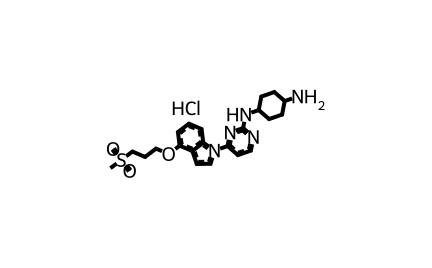 CS(=O)(=O)CCCOc1cccc2c1ccn2-c1ccnc(NC2CCC(N)CC2)n1.Cl